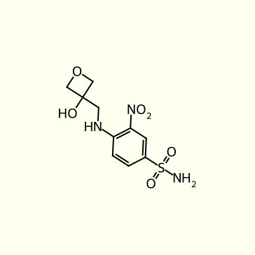 NS(=O)(=O)c1ccc(NCC2(O)COC2)c([N+](=O)[O-])c1